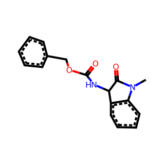 CN1C(=O)C(NC(=O)OCc2ccccc2)c2ccccc21